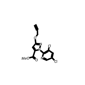 C#CCOc1cc(C(=O)OC)n(-c2ncc(Cl)cc2Cl)n1